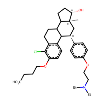 CCN(CC)CCOc1ccc([C@H]2C[C@@]3(C)C(CC[C@@H]3O)C3CCc4c(ccc(OCCCC(=O)O)c4Cl)C32)cc1